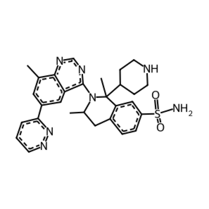 Cc1cc(-c2cccnn2)cc2c(N3C(C)Cc4ccc(S(N)(=O)=O)cc4C3(C)C3CCNCC3)ncnc12